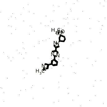 Cn1cc(-c2cccc(-c3ncc(-c4cnn(C5CCC[C@H](S(C)(=O)=O)C5)c4)cn3)c2)cn1